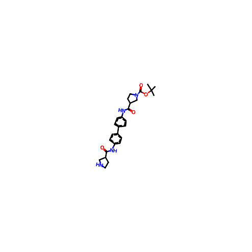 CC(C)(C)OC(=O)N1CCC(C(=O)Nc2ccc(-c3ccc(NC(=O)C4CCNC4)cc3)cc2)C1